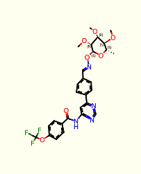 CO[C@@H]1[C@@H](OC)[C@H](C)O[C@@H](ON=Cc2ccc(-c3cc(NC(=O)c4ccc(OC(F)(F)F)cc4)ncn3)cc2)[C@@H]1OC